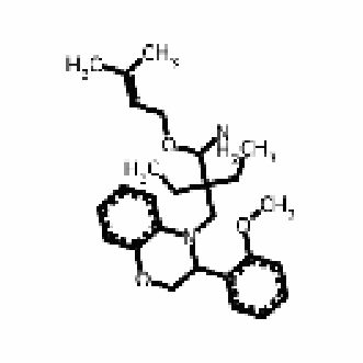 CCC(CC)(CN1c2ccccc2OCC1c1ccccc1OC)C(N)OCC=C(C)C